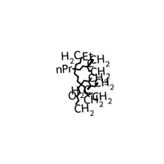 C=C=C(C=C)CCC(CCC)(CCCC(CCC(=C)C=C)(CCC(=O)CC=C)CC(C)C(=C)C=C)CCC(=C)CC